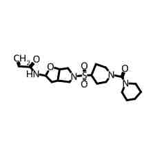 C=CC(=O)NC1CC2CN(S(=O)(=O)C3CCN(C(=O)N4CCCCC4)CC3)CC2O1